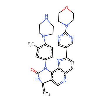 C=C1NC(=O)N(c2ccc(N3CCNCC3)c(C(F)(F)F)c2)c2c1cnc1ccc(-c3cnc(N4CCOCC4)nc3)nc21